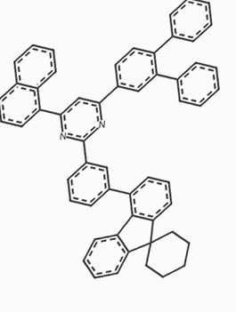 c1ccc(-c2ccc(-c3cc(-c4cccc5ccccc45)nc(-c4cccc(-c5cccc6c5-c5ccccc5C65CCCCC5)c4)n3)cc2-c2ccccc2)cc1